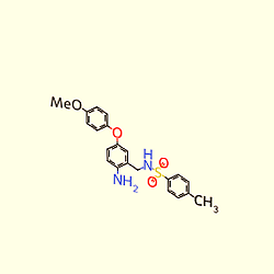 COc1ccc(Oc2ccc(N)c(CNS(=O)(=O)c3ccc(C)cc3)c2)cc1